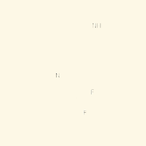 CC1CCN(CC2CCNCC2)CC1(F)F